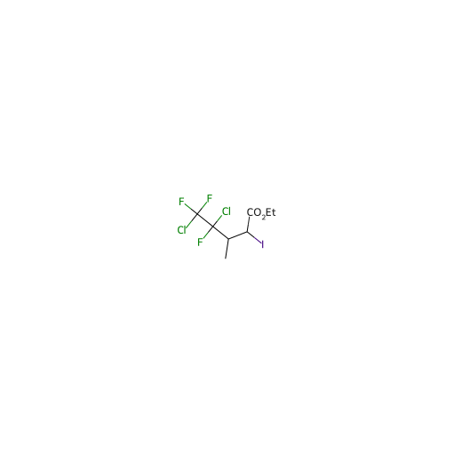 CCOC(=O)C(I)C(C)C(F)(Cl)C(F)(F)Cl